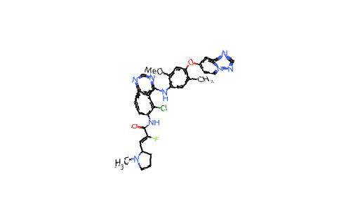 COc1cc(Oc2ccn3ncnc3c2)c(C)cc1Nc1ncnc2ccc(NC(=O)C(F)=CC3CCCN3C)c(Cl)c12